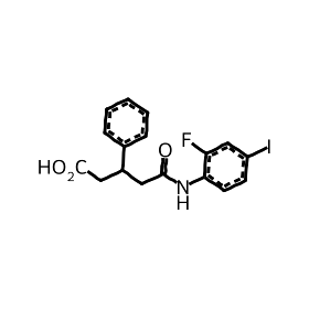 O=C(O)CC(CC(=O)Nc1ccc(I)cc1F)c1ccccc1